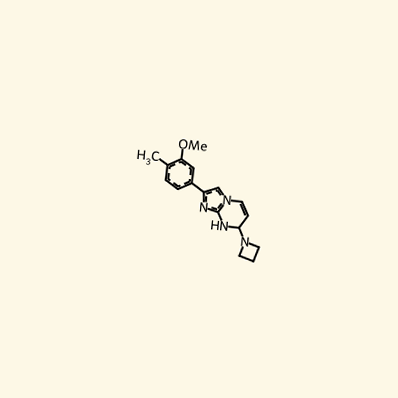 COc1cc(-c2cn3c(n2)NC(N2CCC2)C=C3)ccc1C